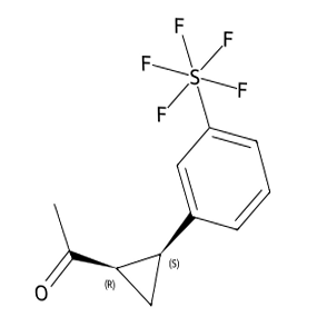 CC(=O)[C@@H]1C[C@@H]1c1cccc(S(F)(F)(F)(F)F)c1